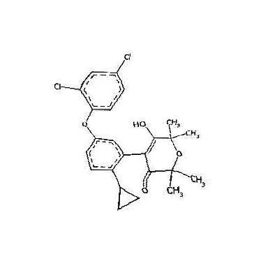 CC1(C)OC(C)(C)C(O)=C(c2cc(Oc3ccc(Cl)cc3Cl)ccc2C2CC2)C1=O